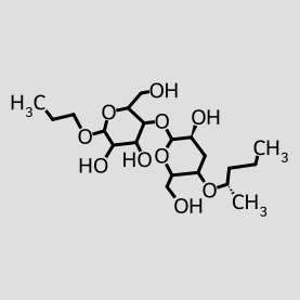 CCCOC1OC(CO)C(OC2OC(CO)C(O[C@@H](C)CCC)C[C@@H]2O)C(O)C1O